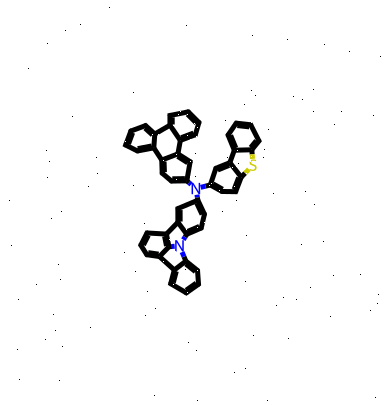 c1ccc2c(c1)sc1ccc(N(c3ccc4c5ccccc5c5ccccc5c4c3)c3ccc4c(c3)c3cccc5c6ccccc6n4c53)cc12